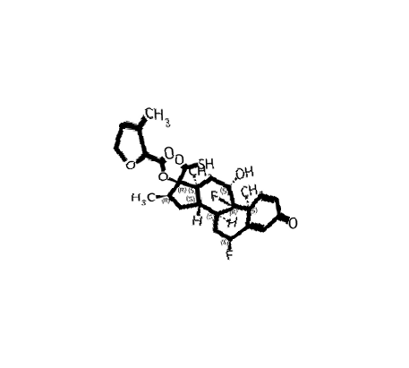 CC1CCOC1C(=O)O[C@]1(C(=O)S)[C@H](C)C[C@H]2[C@@H]3C[C@H](F)C4=CC(=O)C=C[C@]4(C)[C@@]3(F)[C@@H](O)C[C@@]21C